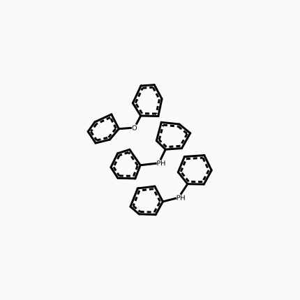 c1ccc(Oc2ccccc2)cc1.c1ccc(Pc2ccccc2)cc1.c1ccc(Pc2ccccc2)cc1